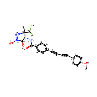 COc1ccc(C#CC#Cc2ccc(C(=O)N[C@H](C(=O)NO)C(C)(N)C(F)F)cc2)cc1